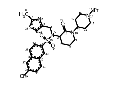 Cc1nc(CN(C2CCCN(C3CCN(C(C)C)CC3)C2=O)S(=O)(=O)c2ccc3cc(Cl)ccc3c2)cs1